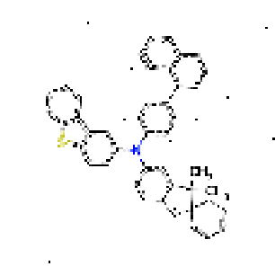 CC1(C)c2cc(N(c3ccc(-c4cccc5ccc#cc45)cc3)c3ccc4sc5ccccc5c4c3)ccc2CC12C=CC=CC2